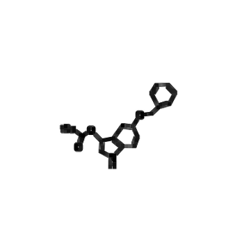 CC(C)(C)C(=O)Oc1c[nH]c2ccc(OCc3ccccc3)cc12